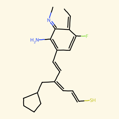 C/C=C1C(F)=CC(/C=C/C(=C\C=C\S)CC2CCCC2)=C(N)C/1=N/C